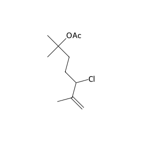 C=C(C)C(Cl)CCC(C)(C)OC(C)=O